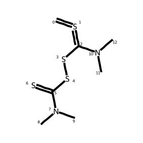 C=S=C(SSC(=S)N(C)C)N(C)C